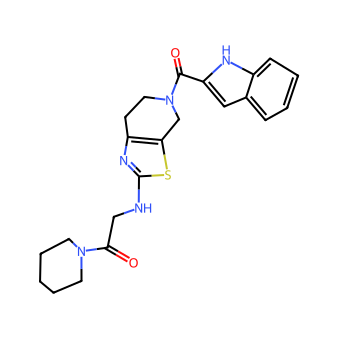 O=C(CNc1nc2c(s1)CN(C(=O)c1cc3ccccc3[nH]1)CC2)N1CCCCC1